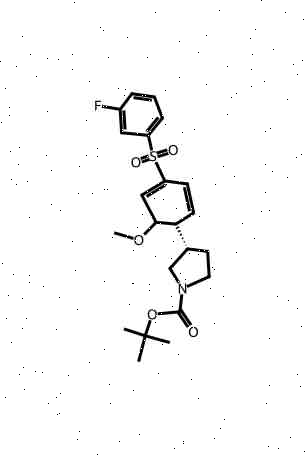 COC1C=C(S(=O)(=O)c2cccc(F)c2)C=CC1[C@@H]1CCN(C(=O)OC(C)(C)C)C1